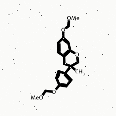 COCOc1ccc(C2(C)COc3cc(OCOC)ccc3C2)cc1